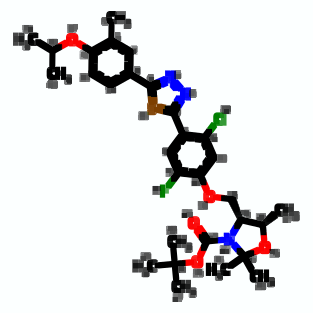 Cc1cc(-c2nnc(-c3cc(F)c(OC[C@H]4[C@@H](C)OC(C)(C)N4C(=O)OC(C)(C)C)cc3Cl)s2)ccc1OC(C)C